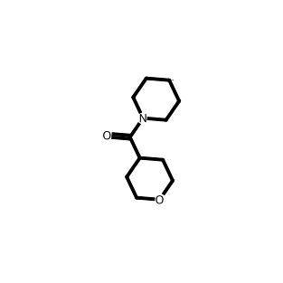 O=C(C1CCOCC1)N1CC[CH]CC1